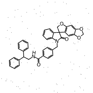 O=C(NCC(c1ccccc1)c1ccccc1)c1ccc(CN2C(=O)C3(COc4cc5c(cc43)OCO5)c3ccccc32)cc1